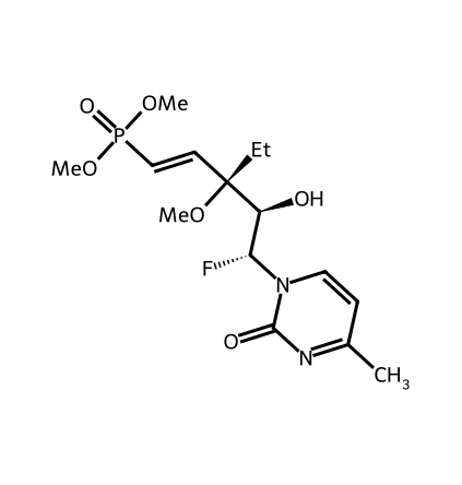 CC[C@](/C=C/P(=O)(OC)OC)(OC)[C@@H](O)[C@@H](F)n1ccc(C)nc1=O